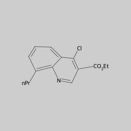 CCCc1cccc2c(Cl)c(C(=O)OCC)cnc12